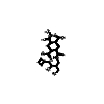 CCC(CNC(=O)C1CC(C(=O)O)C(C(=O)NC)CC1C(=O)O)C(C)CC1CCC1